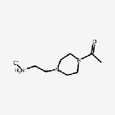 [CH2-][NH2+]CCN1CCN(C(C)=O)CC1